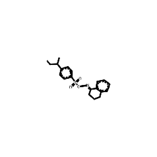 CCC(C)c1ccc(S(=O)(=O)ON=C2CCCc3ccccc32)cc1